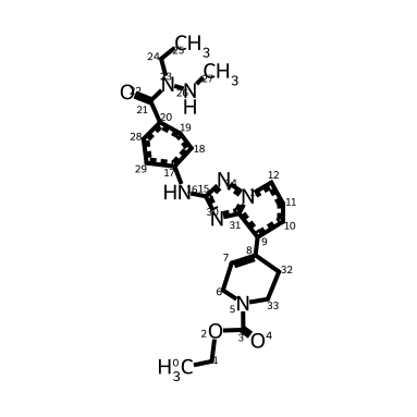 CCOC(=O)N1CC=C(c2cccn3nc(Nc4ccc(C(=O)N(CC)NC)cc4)nc23)CC1